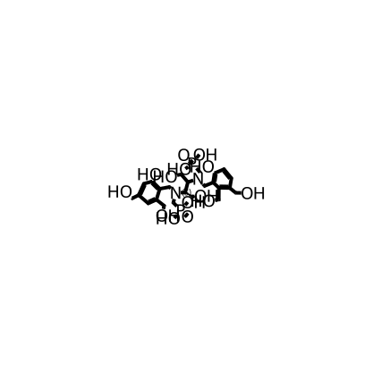 O=P(O)(O)CN(Cc1c(O)ccc(CO)c1CO)C(CO)[C@@H](CO)N(Cc1c(O)cc(CO)cc1CO)CP(=O)(O)O